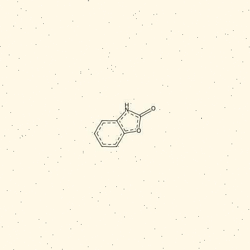 O=c1[nH]c2ccc[c]c2o1